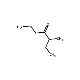 C[CH]CC(=O)C(C)CC